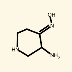 NC1CNCCC1=NO